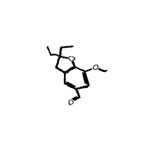 CCC1(CC)Cc2cc(C=O)cc(OC)c2O1